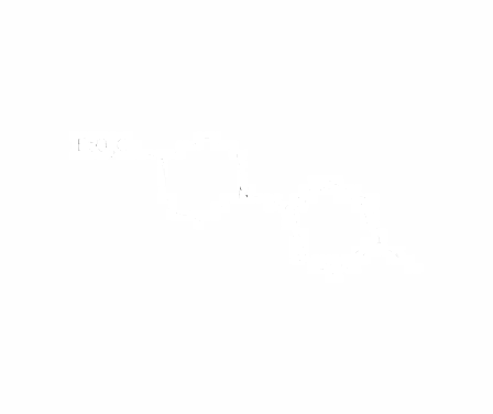 CCOC(=O)C1CCN(c2ccc(C)cc2)CC1